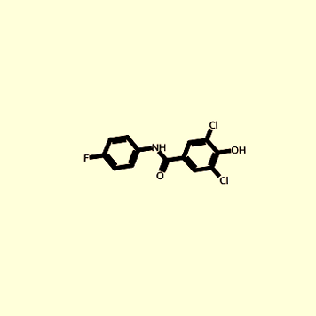 O=C(Nc1ccc(F)cc1)c1cc(Cl)c(O)c(Cl)c1